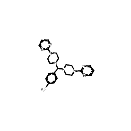 Cc1ccc(C(N2CCN(c3ncccn3)CC2)N2CCN(c3ncccn3)CC2)cc1